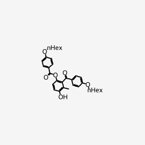 CCCCCCOc1ccc(C(=O)Oc2ccc(O)c(C)c2C(=O)c2ccc(OCCCCCC)cc2)cc1